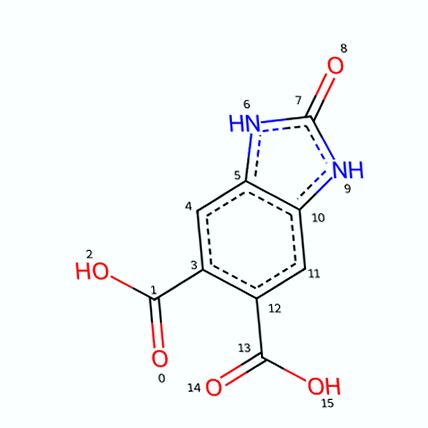 O=C(O)c1cc2[nH]c(=O)[nH]c2cc1C(=O)O